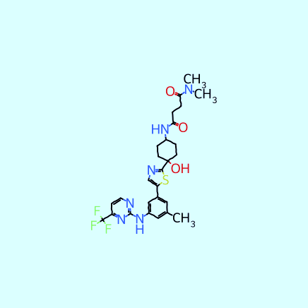 Cc1cc(Nc2nccc(C(F)(F)F)n2)cc(-c2cnc(C3(O)CCC(NC(=O)CCC(=O)N(C)C)CC3)s2)c1